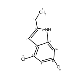 CCc1cc2c(Cl)cc(Cl)cc2[nH]1